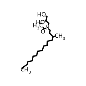 CCCCCCCCCCCCCC(C)CCN(CC(O)CO)C(C)=O